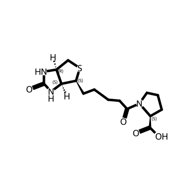 O=C1N[C@H]2[C@H](CS[C@H]2CCCCC(=O)N2CCC[C@H]2C(=O)O)N1